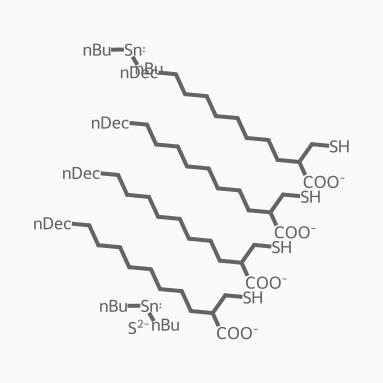 CCCCCCCCCCCCCCCCCCC(CS)C(=O)[O-].CCCCCCCCCCCCCCCCCCC(CS)C(=O)[O-].CCCCCCCCCCCCCCCCCCC(CS)C(=O)[O-].CCCCCCCCCCCCCCCCCCC(CS)C(=O)[O-].CCC[CH2][Sn][CH2]CCC.CCC[CH2][Sn][CH2]CCC.[S-2]